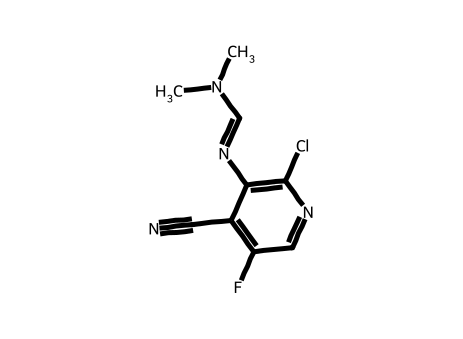 CN(C)/C=N/c1c(Cl)ncc(F)c1C#N